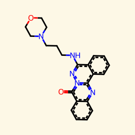 O=c1c2ccccc2nc2c3ccccc3c(NCCCN3CCOCC3)nn12